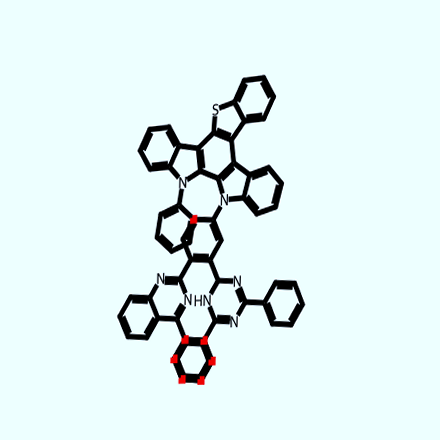 c1ccc(C2=NC(c3cc(-n4c5ccccc5c5c6c7ccccc7sc6c6c7ccccc7n(-c7ccccc7)c6c54)ccc3-c3nc(-c4ccccc4)c4ccccc4n3)NC(c3ccccc3)=N2)cc1